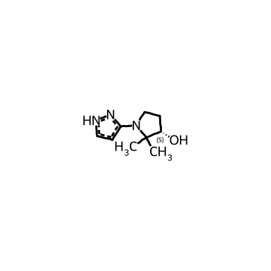 CC1(C)[C@@H](O)CCN1c1cc[nH]n1